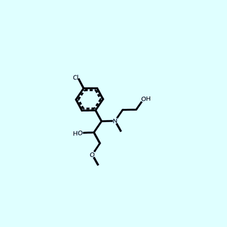 COCC(O)C(c1ccc(Cl)cc1)N(C)CCO